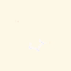 Brc1ccc2c(c1)nnn2PI